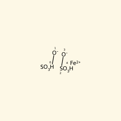 O=S(=O)([O-])O.O=S(=O)([O-])O.[Fe+2]